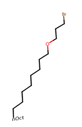 CCCCCCCCCCCCCCCCOCCCBr